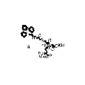 COC(=O)CNC(=O)C(CSSCC(=O)NCCCC[P+](c1ccccc1)(c1ccccc1)c1ccccc1)NC(=O)CCC(N)C(=O)OC.[Br-]